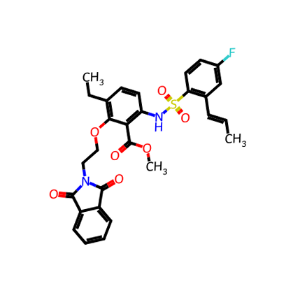 CC=Cc1cc(F)ccc1S(=O)(=O)Nc1ccc(CC)c(OCCN2C(=O)c3ccccc3C2=O)c1C(=O)OC